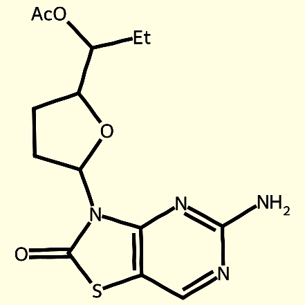 CCC(OC(C)=O)C1CCC(n2c(=O)sc3cnc(N)nc32)O1